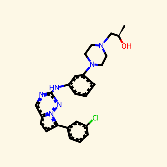 C[C@@H](O)CN1CCN(c2cccc(Nc3ncc4ccc(-c5cccc(Cl)c5)n4n3)c2)CC1